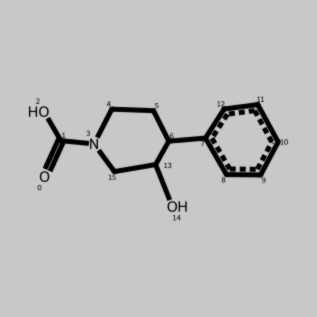 O=C(O)N1CCC(c2ccccc2)C(O)C1